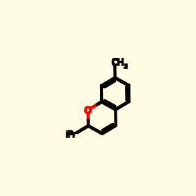 Cc1ccc2c(c1)OC(C(C)C)C=C2